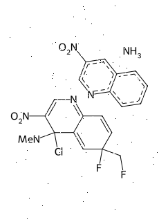 CNC1(Cl)C2=CC(F)(CF)C=CC2=NC=C1[N+](=O)[O-].N.O=[N+]([O-])c1cnc2ccccc2c1